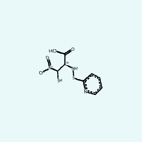 O=C(O)[C@@H](NSc1ccccn1)C(S)[N+](=O)[O-]